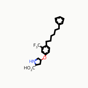 O=C(O)[C@H]1C[C@H](Oc2ccc(CCCCCCc3ccccc3)c(C(F)(F)F)c2)CN1